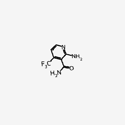 NC(=O)c1c(C(F)(F)F)ccnc1N